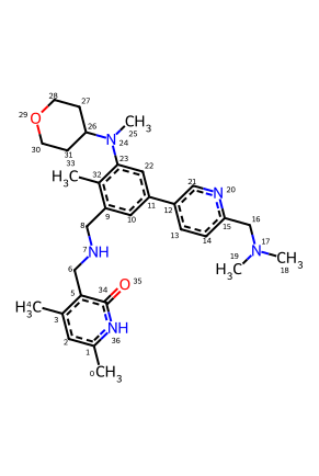 Cc1cc(C)c(CNCc2cc(-c3ccc(CN(C)C)nc3)cc(N(C)C3CCOCC3)c2C)c(=O)[nH]1